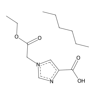 CCCCCC.CCOC(=O)Cn1cnc(C(=O)O)c1